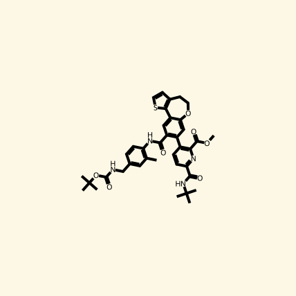 COC(=O)c1nc(C(=O)NC(C)(C)C)ccc1-c1cc2c(cc1C(=O)Nc1ccc(CNC(=O)OC(C)(C)C)cc1C)-c1sccc1CCO2